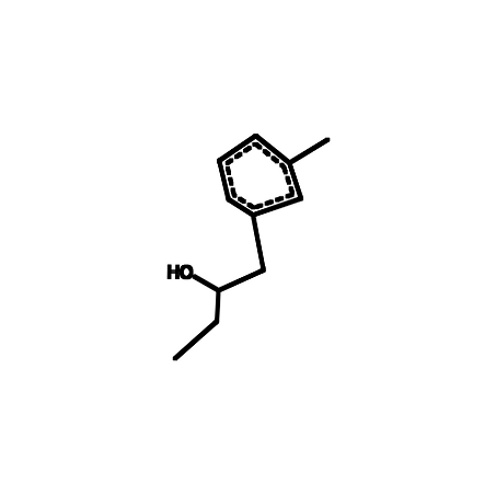 CCC(O)Cc1cccc(C)c1